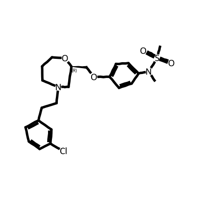 CN(c1ccc(OC[C@H]2CN(CCc3cccc(Cl)c3)CCCO2)cc1)S(C)(=O)=O